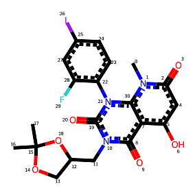 Cn1c(=O)cc(O)c2c(=O)n(CC3COC(C)(C)O3)c(=O)n(-c3ccc(I)cc3F)c21